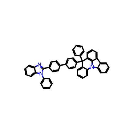 c1ccc(-n2c(-c3ccc(-c4ccc(C5(c6ccccc6)c6ccccc6-n6c7ccccc7c7cccc5c76)cc4)cc3)nc3ccccc32)cc1